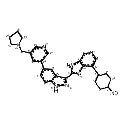 O=NC1CCC(c2cncc3[nH]c(-c4n[nH]c5ccc(-c6cncc(CN7CCCC7)c6)cc45)nc23)CC1